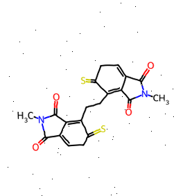 CN1C(=O)C2=CCC(=S)C(CCC3=C4C(=O)N(C)C(=O)C4=CCC3=S)=C2C1=O